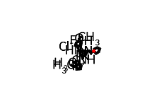 CC[N+]1(C(C)=O)CCCC1CNc1nc(NCC2CCCCC2)nc(Nc2ccc(OC)c(F)c2)n1.[Cl-]